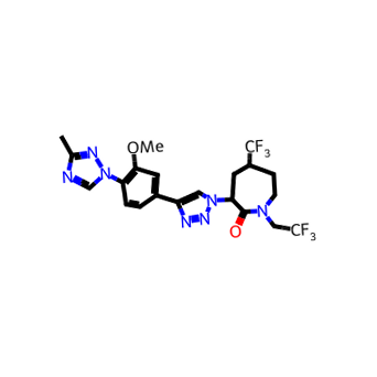 COc1cc(-c2cn(C3CC(C(F)(F)F)CCN(CC(F)(F)F)C3=O)nn2)ccc1-n1cnc(C)n1